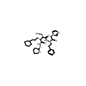 CC(C)C[C@@H](C(=O)NN(CCc1ccccc1)C(=O)Cn1ccnc1)[C@H](CCCC1CCCCC1)C(=O)NOC1CCCCO1